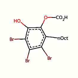 CCCCCCCCc1c(Br)c(Br)c(Br)c(O)c1OC(=O)O